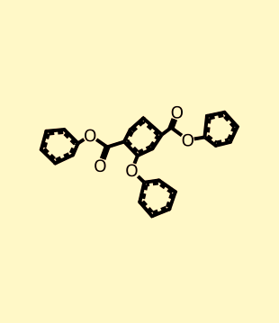 O=C(Oc1ccccc1)c1ccc(C(=O)Oc2ccccc2)c(Oc2ccccc2)c1